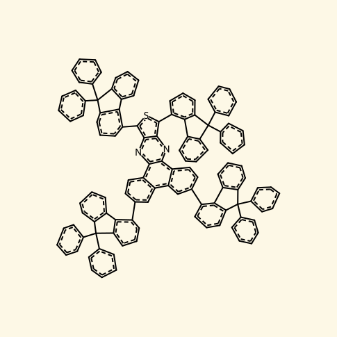 c1ccc(C2(c3ccccc3)c3ccccc3-c3c(-c4ccc5c(c4)c4cc(-c6cccc7c6-c6ccccc6C7(c6ccccc6)c6ccccc6)ccc4c4nc6c(-c7cccc8c7-c7ccccc7C8(c7ccccc7)c7ccccc7)sc(-c7cccc8c7-c7ccccc7C8(c7ccccc7)c7ccccc7)c6nc54)cccc32)cc1